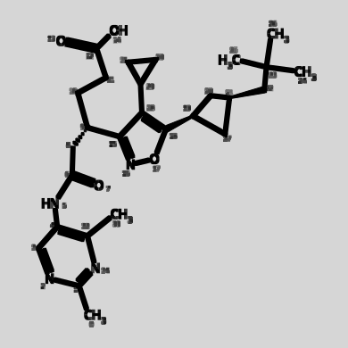 Cc1ncc(NC(=O)C[C@H](CCC(=O)O)c2noc([C@H]3C[C@@H](CC(C)(C)C)C3)c2C2CC2)c(C)n1